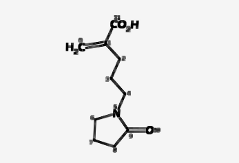 C=C(CCCN1CCCC1=O)C(=O)O